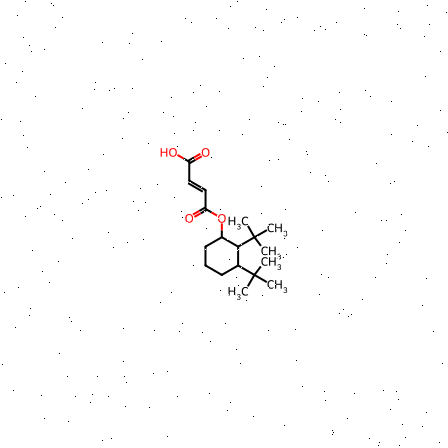 CC(C)(C)C1CCCC(OC(=O)C=CC(=O)O)C1C(C)(C)C